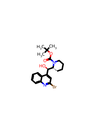 CC(C)(C)OC(=O)N1CCCC[C@@H]1[C@H](O)c1cc(Br)nc2ccccc12